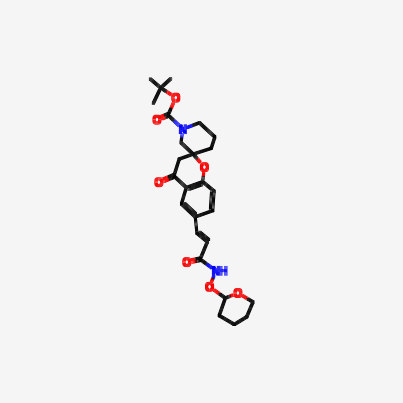 CC(C)(C)OC(=O)N1CCCC2(CC(=O)c3cc(/C=C/C(=O)NOC4CCCCO4)ccc3O2)C1